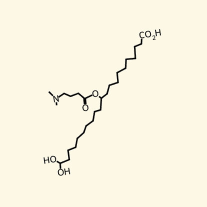 CN(C)CCCC(=O)OC(CCCCCCCCCC(=O)O)CCCCCCCCCC(O)O